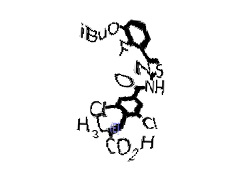 C/C(=C\c1c(Cl)cc(C(=O)Nc2nc(-c3cccc(OCC(C)C)c3F)cs2)cc1Cl)C(=O)O